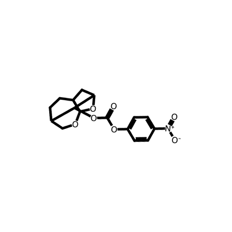 O=C(Oc1ccc([N+](=O)[O-])cc1)OC1C2CCC3CC1OC3OC2